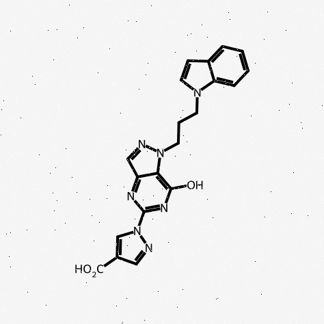 O=C(O)c1cnn(-c2nc(O)c3c(cnn3CCCn3ccc4ccccc43)n2)c1